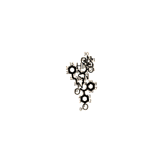 COc1ccc(C(C(=O)N(CCCc2ccccc2)Cc2nc(C(=O)NS(=O)(=O)N(C)C)c(C)s2)c2ccccc2)cc1